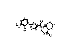 COc1cccc(-c2nc(C(=O)N3CCC(Cl)C4CCCCC43)cs2)c1OC